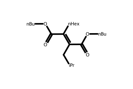 CCCCCCC(C(=O)OCCCC)=C(CC(C)C)C(=O)OCCCC